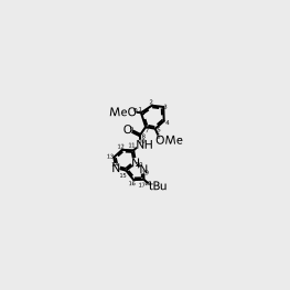 COc1cccc(OC)c1C(=O)Nc1ccnc2cc(C(C)(C)C)nn12